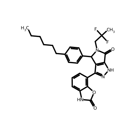 CCCCCCc1ccc(C2c3c(-c4cccc5[nH]c(=O)oc45)n[nH]c3C(=O)N2CC(C)(F)F)cc1